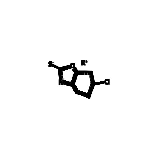 [K+].[S-]c1nc2ccc(Cl)cc2o1